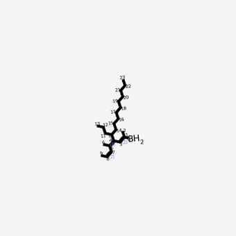 B/C(C)=C/C(=C(C)\C=C/C)C(CCC)CCCCCCCCCC